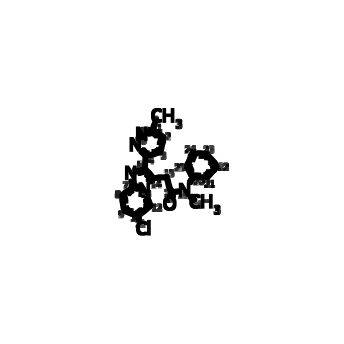 Cc1ccc(-c2nc3ccc(Cl)cn3c2CC(=O)N(C)c2ccccc2)nn1